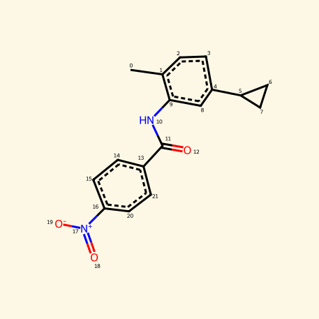 Cc1ccc(C2CC2)cc1NC(=O)c1ccc([N+](=O)[O-])cc1